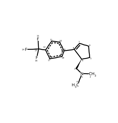 CN(C)C[C@@H]1CCC=C1c1ccc(C(F)(F)F)cc1